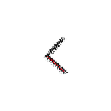 OB(O)O.OB(O)O.OB(O)O.OB(O)O.OB(O)O.OB(O)O.OB(O)O.OB(O)O.OB(O)O.OB(O)O.OB(O)O.OB(O)O.OB(O)O.OB(O)O.OB(O)O.OB(O)O.OB(O)O.OB(O)O.OB(O)O.OB(O)O